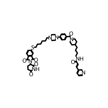 O=C(/C=C/c1cccnc1)NCCCCC1CCN(C(=O)c2ccc(N3CCN(CCCCCCSc4ccc5c(c4)C(=O)N(C4CCC(=O)NC4=O)C5=O)CC3)cc2)CC1